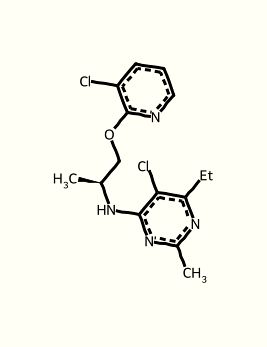 CCc1nc(C)nc(N[C@@H](C)COc2ncccc2Cl)c1Cl